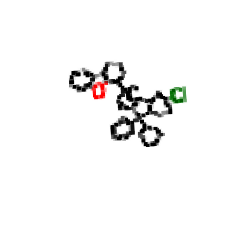 Clc1ccc2c(c1)-c1cc(-c3cccc4c3oc3ccccc34)ccc1C2(c1ccccc1)c1ccccc1